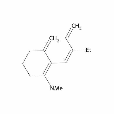 C=C/C(=C\C1=C(NC)CCCC1=C)CC